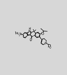 CC(C)Oc1cc2c(cc1C1=CCN(C3COC3)CC1)C(=O)c1c([nH]c3cc(N)ccc13)C2(C)C